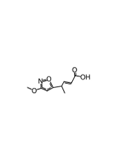 COc1cc(C(C)/C=C/C(=O)O)on1